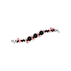 C=CC(=O)OCCCCOC(=O)c1ccc(OC(=O)c2ccc(OC(=O)c3ccc(OCCCCOC(O)/C=C/C)cc3)cc2)cc1